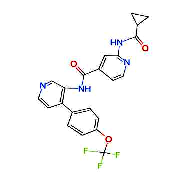 O=C(Nc1cnccc1-c1ccc(OC(F)(F)F)cc1)c1ccnc(NC(=O)C2CC2)c1